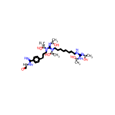 CB(O)/N=C(/NCCCCCCCCN(B(C)O)/C(=N\B(C)O)N(CCCc1ccc(C(=N)NBC=O)cc1)B(C)O)NB(C)O